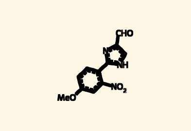 COc1ccc(-c2nc(C=O)c[nH]2)c([N+](=O)[O-])c1